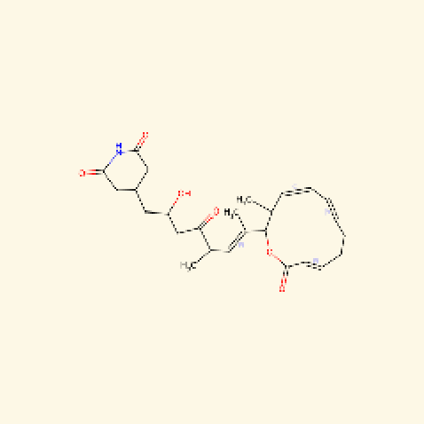 C/C(=C\C(C)C(=O)CC(O)CC1CC(=O)NC(=O)C1)C1OC(=O)/C=C/CC/C=C/C=C\C1C